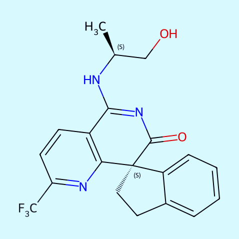 C[C@@H](CO)NC1=NC(=O)[C@]2(CCc3ccccc32)c2nc(C(F)(F)F)ccc21